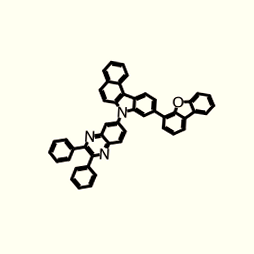 c1ccc(-c2nc3ccc(-n4c5cc(-c6cccc7c6oc6ccccc67)ccc5c5c6ccccc6ccc54)cc3nc2-c2ccccc2)cc1